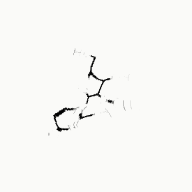 COC1C(O)C(CO)OC1N1C=CC(=O)NC1O